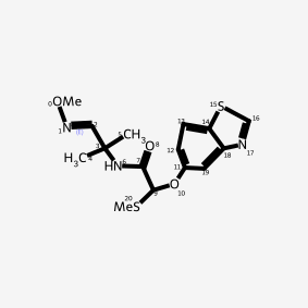 CO/N=C/C(C)(C)NC(=O)C(Oc1ccc2scnc2c1)SC